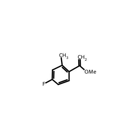 C=C(OC)c1ccc(F)cc1C